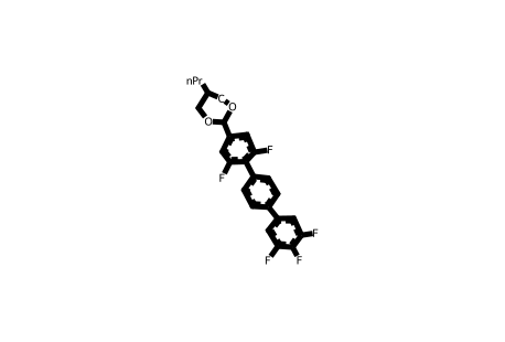 CCCC1COC(c2cc(F)c(-c3ccc(-c4cc(F)c(F)c(F)c4)cc3)c(F)c2)OC1